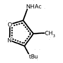 CC(=O)Nc1onc(C(C)(C)C)c1C